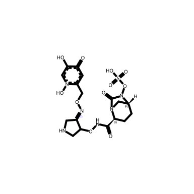 O=C(NOC1CNC/C1=N\OCc1cc(=O)c(O)cn1O)[C@@H]1CC[C@@H]2CN1C(=O)N2OS(=O)(=O)O